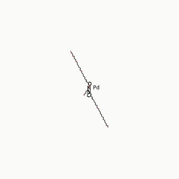 CCCCCCCCCCCCCCCCCCCCC=Cc1cccc(N=CC(CCCC)=Nc2cccc(C=CCCCCCCCCCCCCCCCCCCCC)c2)c1.[Pd]